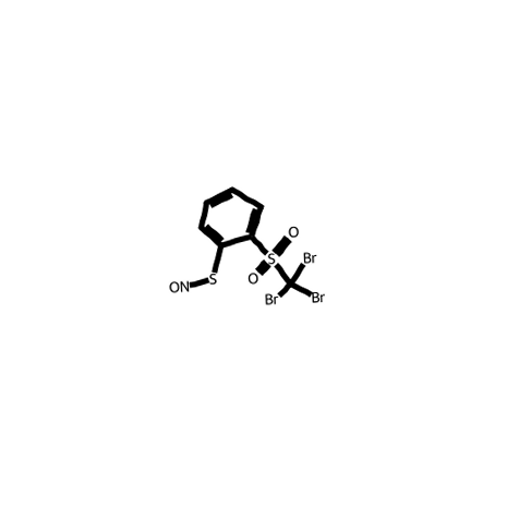 O=NSc1ccccc1S(=O)(=O)C(Br)(Br)Br